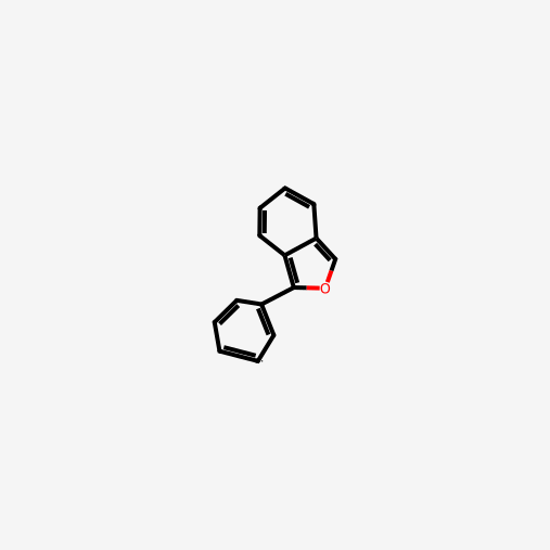 [c]1cccc(-c2occ3ccccc23)c1